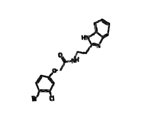 O=C(COc1ccc(Br)c(Cl)c1)NCCc1nc2ccccc2[nH]1